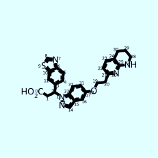 O=C(O)CC(c1ccc2ncsc2c1)n1ncc2cc(OCCc3ccc4c(n3)NCCC4)ccc21